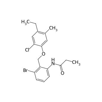 CCC(=O)Nc1cccc(Br)c1COc1cc(C)c(CC)cc1Cl